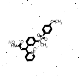 COc1ccc(S(=O)(=O)N(C)c2cccc(/C(=C\C(=O)NO)c3cccc[n+]3[O-])c2)cc1